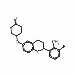 Cc1c(F)cccc1C1CCc2cc(OC3CCC(=O)CC3)ccc2O1